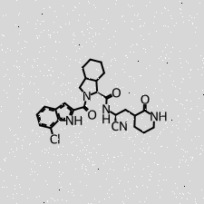 N#C[C@H](CC1CCCNC1=O)NC(=O)[C@@H]1C2CCCCC2CN1C(=O)c1cc2cccc(Cl)c2[nH]1